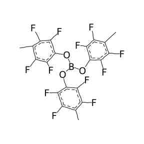 Cc1c(F)c(F)c(OB(Oc2c(F)c(F)c(C)c(F)c2F)Oc2c(F)c(F)c(C)c(F)c2F)c(F)c1F